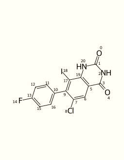 O=c1[nH]c(=O)c2cc(Cl)c(-c3ccc(F)cc3)c(I)c2[nH]1